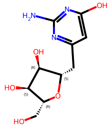 Nc1nc(O)cc(C[C@@H]2O[C@H](CO)[C@@H](O)[C@H]2O)n1